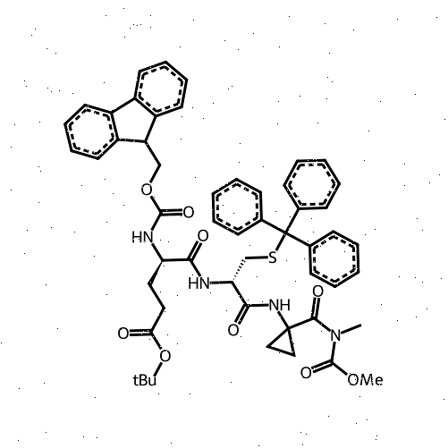 COC(=O)N(C)C(=O)C1(NC(=O)[C@@H](CSC(c2ccccc2)(c2ccccc2)c2ccccc2)NC(=O)[C@@H](CCC(=O)OC(C)(C)C)NC(=O)OCC2c3ccccc3-c3ccccc32)CC1